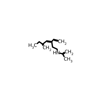 C=C/C(=C/C(=C)CC)CCNC(=C)C